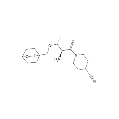 C[C@@H](OCC12CCC(CC1)OC2)[C@H](N)C(=O)N1CCC(C#N)CC1